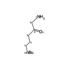 CCCCCCCC(=O)CN